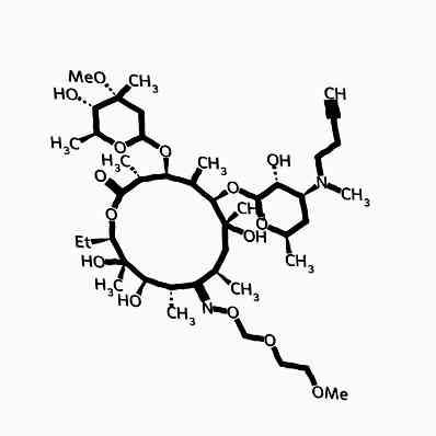 C#CCCN(C)[C@H]1C[C@@H](C)OC(O[C@@H]2C(C)[C@H](OC3C[C@@](C)(OC)[C@@H](O)[C@H](C)O3)[C@@H](C)C(=O)O[C@H](CC)[C@@](C)(O)[C@H](O)[C@@H](C)/C(=N/OCOCCOC)[C@H](C)C[C@@]2(C)O)[C@@H]1O